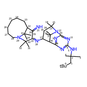 CC(C)(C)CC(C)(C)Nc1nc2nc(n1)N1C(C)(C)CC(N=C3C(=N)C4CCCCCCN(C3(C)C)C4(C)C)C2C1(C)C